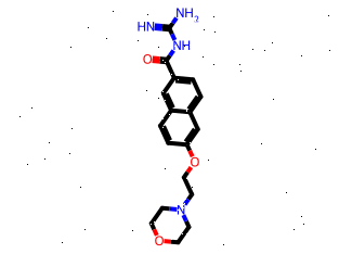 N=C(N)NC(=O)c1ccc2cc(OCCN3CCOCC3)ccc2c1